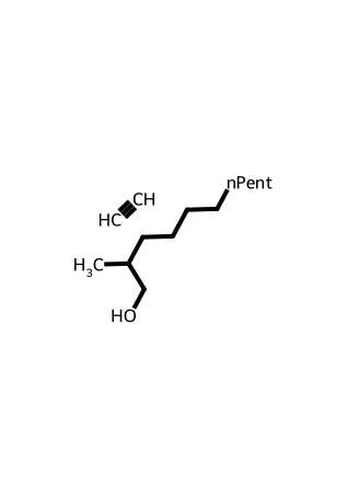 C#C.CCCCCCCCCC(C)CO